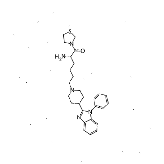 N[C@@H](CCCCN1CCC(c2nc3ccccc3n2-c2ccccc2)CC1)C(=O)N1CCSC1